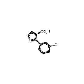 O=C(O)c1cnoc1-c1cccc(Cl)c1